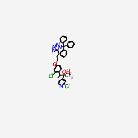 CC(c1ccc(OCCCc2nnnn2C(c2ccccc2)(c2ccccc2)c2ccccc2)cc1Cl)C(O)(c1ccnc(Cl)c1)C(F)(F)F